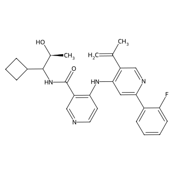 C=C(C)c1cnc(-c2ccccc2F)cc1Nc1ccncc1C(=O)NC(C1CCC1)[C@H](C)O